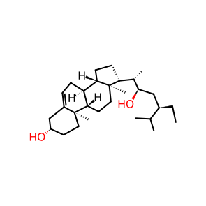 CC[C@H](C[C@@H](O)[C@@H](C)[C@H]1CC[C@H]2[C@@H]3CC=C4C[C@@H](O)CC[C@]4(C)[C@H]3CC[C@]12C)C(C)C